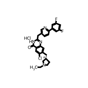 CCN1CC[C@@H](Cc2cc3nc(Cc4ccc(-c5cc(F)cc(F)c5)nc4)[nH]c(=O)c3cc2Cl)C1.Cl